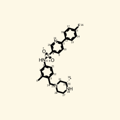 Cc1cc(NS(=O)(=O)c2ccc(-c3ccc(F)cc3)nc2)ccc1CN1CCN[C@@H](C)C1